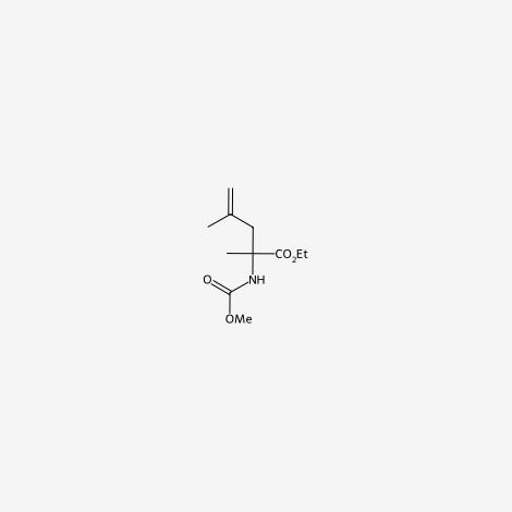 C=C(C)CC(C)(NC(=O)OC)C(=O)OCC